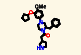 COc1ccc(N2CCN(C(=O)CC3CCNC3)C(Cc3ccccc3)C2)cc1OC1CCCC1